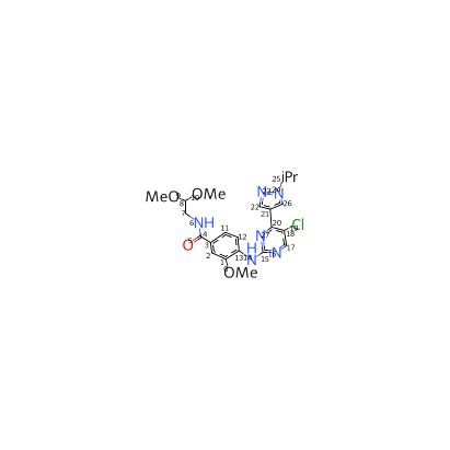 COc1cc(C(=O)NCC(OC)OC)ccc1Nc1ncc(Cl)c(-c2cnn(C(C)C)c2)n1